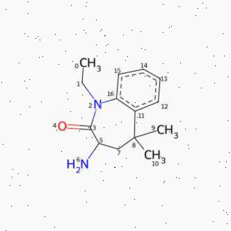 CCN1C(=O)C(N)CC(C)(C)c2ccccc21